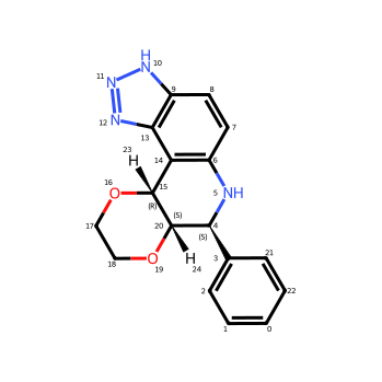 c1ccc([C@@H]2Nc3ccc4[nH]nnc4c3[C@H]3OCCO[C@H]32)cc1